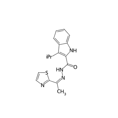 CC(=NNC(=O)c1[nH]c2ccccc2c1C(C)C)c1nccs1